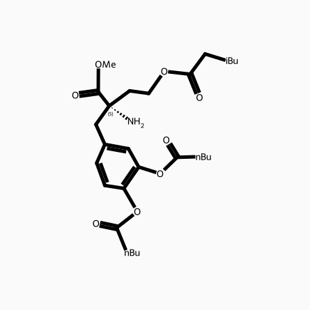 CCCCC(=O)Oc1ccc(C[C@](N)(CCOC(=O)CC(C)CC)C(=O)OC)cc1OC(=O)CCCC